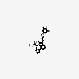 Cc1cc(OCCCc2c(C)n(CC(=O)O)c3c(-c4ccnn4C)cccc23)cc(C)c1Cl